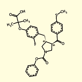 CSc1ccc(C(=O)[C@H]2CN(C(=O)Oc3ccccc3)C[C@@H]2Cc2ccc(OC(C)(C)C(=O)O)cc2F)cc1